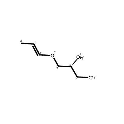 C/C=C/OC[C@H](O)CCl